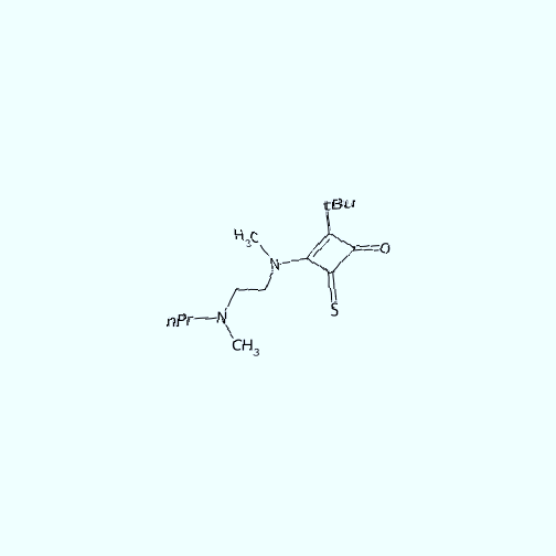 CCCN(C)CCN(C)c1c(C(C)(C)C)c(=O)c1=S